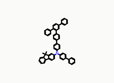 CC1(C)c2ccccc2-c2ccc(N(c3ccc(-c4ccccc4)cc3)c3ccc(-c4ccc(-c5cc(-c6ccccc6)ccc5-c5ccccc5)cc4)cc3)cc21